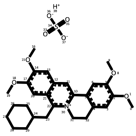 COc1cc2c(cc1OC)-c1cc3cc(OC)c(OC)cc3c(CC3CCCCC3)[n+]1CC2.O=S(=O)([O-])[O-].[H+]